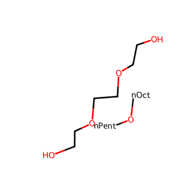 CCCCCCCCOCCCCC.OCCOCCOCCO